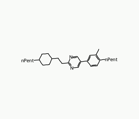 CCCCCc1ccc(-c2cnc(CCC3CCC(CCCCC)CC3)nc2)cc1C